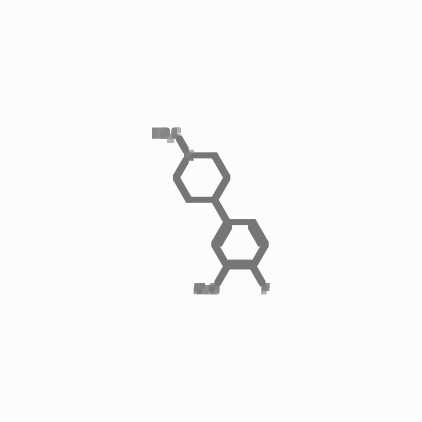 COc1cc(C2CCN(C(=O)O)CC2)ccc1F